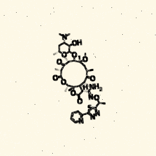 CO[C@]1(C)C[C@@H](C)C(=O)[C@H](C)[C@H]2[C@H](/C(N)=N/O[C@@H](C)c3nnc(-c4ccccn4)s3)C(=O)O[C@]2(C)[C@H](C)OC(=O)[C@H](C)C(=O)[C@H](C)[C@H]1OC1O[C@H](C)C[C@H](N(C)C)[C@H]1O